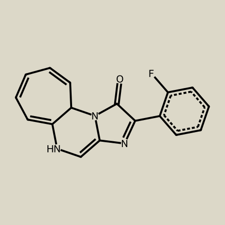 O=C1C(c2ccccc2F)=NC2=CNC3=CC=CC=CC3N12